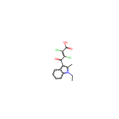 CCn1c(C)c(C(=O)C(Cl)=C(Cl)C(=O)O)c2ccccc21